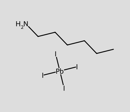 CCCCCCN.[I][Pb]([I])([I])[I]